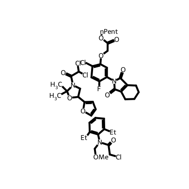 CC1(C)OC(c2ccco2)CN1C(=O)C(Cl)Cl.CCCCCOC(=O)COc1cc(N2C(=O)C3=C(CCCC3)C2=O)c(F)cc1Cl.CCc1cccc(CC)c1N(COC)C(=O)CCl